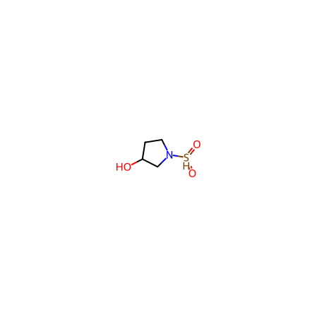 O=[SH](=O)N1CCC(O)C1